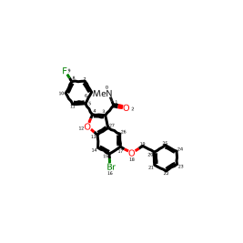 CNC(=O)c1c(-c2ccc(F)cc2)oc2cc(Br)c(OCc3ccccc3)cc12